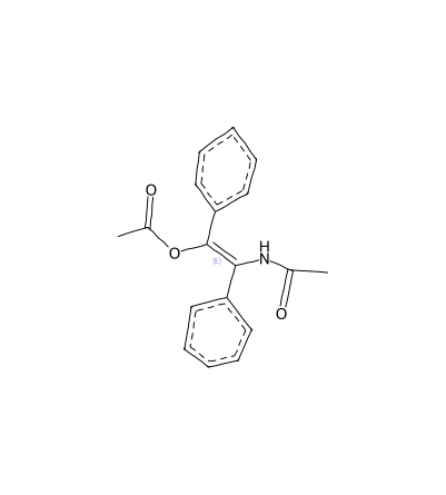 CC(=O)N/C(=C(/OC(C)=O)c1ccccc1)c1ccccc1